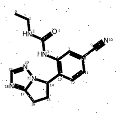 CCNC(=O)Nc1cc(C#N)ccc1C1CCc2ncnn21